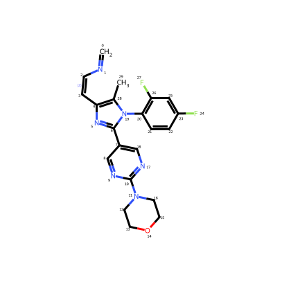 C=N/C=C\c1nc(-c2cnc(N3CCOCC3)nc2)n(-c2ccc(F)cc2F)c1C